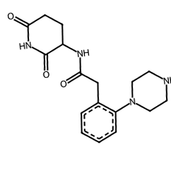 O=C1CCC(NC(=O)Cc2ccccc2N2CCNCC2)C(=O)N1